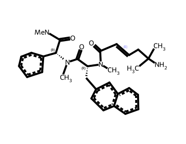 CNC(=O)[C@@H](c1ccccc1)N(C)C(=O)[C@@H](Cc1ccc2ccccc2c1)N(C)C(=O)/C=C/CC(C)(C)N